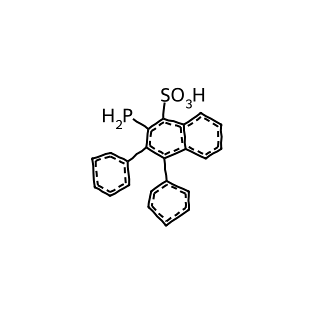 O=S(=O)(O)c1c(P)c(-c2ccccc2)c(-c2ccccc2)c2ccccc12